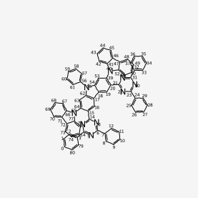 c1ccc(-c2nc(-c3ccccc3)nc(-c3cc4c5cc(-c6nc(-c7ccccc7)nc(-c7ccccc7)n6)c(-n6c7ccccc7c7ccccc76)cc5n(-c5ccccc5)c4cc3-n3c4ccccc4c4ccccc43)n2)cc1